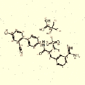 CN([C@@H](Cc1cccc(C(=N)N)c1)C(=O)Nc1ccc(-c2ccc(Cl)cc2C#N)cc1)S(C)(=O)=O.O=C(O)C(F)(F)F